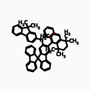 Cc1ccc2c(c1-c1cc3c(cc1N(c1ccccc1)c1ccc4c(c1)C(C)(C)c1ccccc1-4)C1(c4ccccc4-c4ccccc41)c1ccccc1-3)C(C)(C)CCC2(C)C